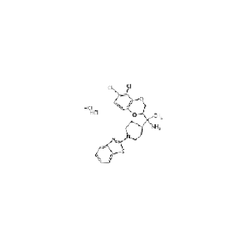 CC(N)(C1CCN(c2nc3ccccc3s2)CC1)C1COc2c(ccc(Cl)c2Cl)O1.Cl.Cl